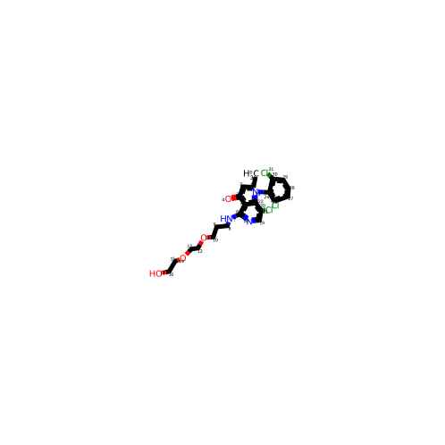 Cc1cc(=O)c2c(NCCCOCCOCCO)ncc(Cl)c2n1-c1c(Cl)cccc1Cl